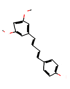 COc1cc(/C=C/C=C/c2ccc(O)cc2)cc(OC)c1